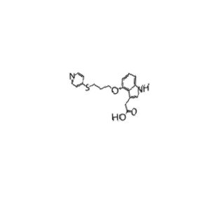 O=C(O)Cc1c[nH]c2cccc(OCCCSc3ccncc3)c12